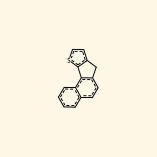 c1ccc2c3c(ccc2c1)Cc1ccsc1-3